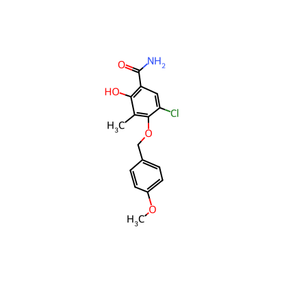 COc1ccc(COc2c(Cl)cc(C(N)=O)c(O)c2C)cc1